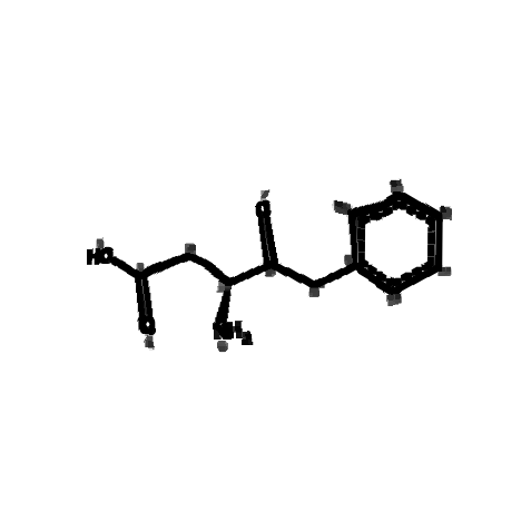 N[C@@H](CC(=O)O)C(=O)[CH]c1ccccc1